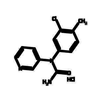 Cc1ccc(N(C(N)=O)c2cccnc2)cc1Cl.Cl